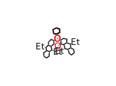 CCc1c2ccccc2c(CC)c2c(Oc3c(Oc4ccccc4)ccc4c(CC)c5ccccc5c(CC)c34)c(Oc3ccccc3)ccc12